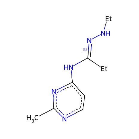 CCN/N=C(\CC)Nc1ccnc(C)n1